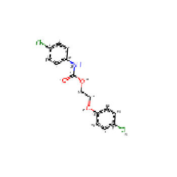 O=C(Nc1ccc(Cl)cc1)OCCOc1ccc(Cl)cc1